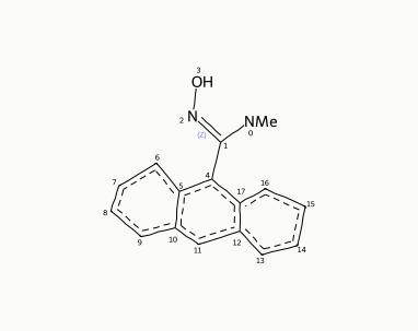 CN/C(=N\O)c1c2ccccc2cc2ccccc12